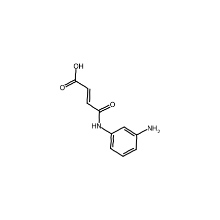 Nc1cccc(NC(=O)C=CC(=O)O)c1